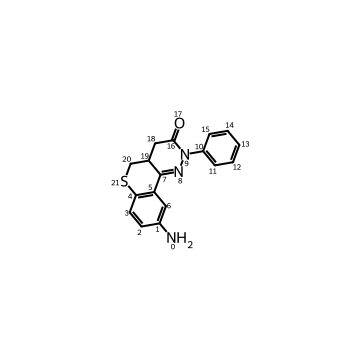 Nc1ccc2c(c1)C1=NN(c3ccccc3)C(=O)CC1CS2